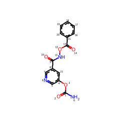 NC(=O)Oc1cncc(C(=O)NOC(=O)c2ccccc2)c1